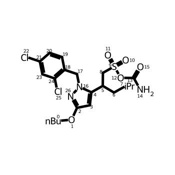 CCCCOc1cc(C(CC(C)C)CS(=O)(=O)OC(N)=O)n(Cc2ccc(Cl)cc2Cl)n1